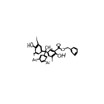 CC(=O)c1cc(C(C)=O)cc(C(C)(c2cc(I)c(O)c(I)c2)c2cc(I)c(O)c(C(=O)OCc3ccccc3)c2)c1